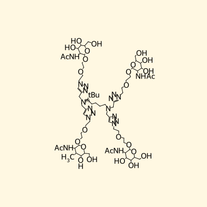 CC(=O)NC1C(OCCOCCn2cc(CN(Cc3cn(CCOCCOC4OC(CO)C(O)C(O)C4NC(C)=O)nn3)[C@H](CCCCN(Cc3cn(CCOCCOC4OC(CO)C(O)C(O)C4NC(C)=O)nn3)Cc3cn(CCOCCOC4OC(CO)C(O)C(O)C4NC(C)=O)nn3)C(C)(C)C)nn2)OC(CO)C(O)C1C